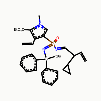 C=Cc1c(S(=O)(N=CC(C=C)C2CC2)=N[Si](c2ccccc2)(c2ccccc2)C(C)(C)C)cn(C)c1C(=O)OCC